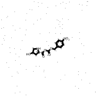 O=C(OCc1ccc([N+](=O)[O-])cc1)OC(=O)[C@@H]1CC(O)CN1